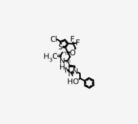 C[C@H]1C[C@@]2(C[C@@H](c3cn(CC(O)c4ccccc4)nn3)N1)OCC(F)(F)c1cc(Cl)sc12